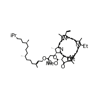 C=Cc1c(C)c2cc3nc(c4c5c(c(C)c(cc6nc(cc1n2C)C(C)=C6CC)n5CC)C(=O)[C@@H]4C(=O)OC)[C@@H](CCC(=O)OC/C=C(\C)CCC[C@H](C)CCC[C@H](C)CCCC(C)C)[C@@H]3C